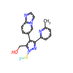 Cc1cccc(-c2nn(SF)c(CO)c2-c2ccc3nccn3c2)n1